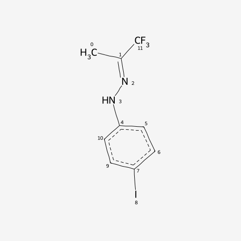 CC(=NNc1ccc(I)cc1)C(F)(F)F